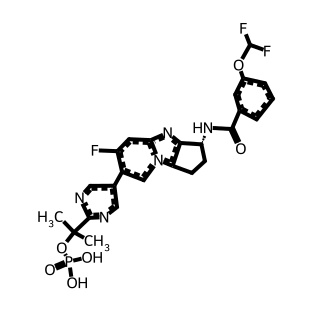 CC(C)(OP(=O)(O)O)c1ncc(-c2cn3c4c(nc3cc2F)[C@H](NC(=O)c2cccc(OC(F)F)c2)CC4)cn1